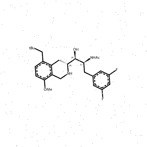 COc1ccc(CC(C)(C)C)c2c1CN[C@@H]([C@@H](O)[C@H](Cc1cc(F)cc(F)c1)NC(C)=O)C2